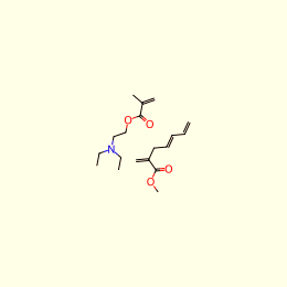 C=C(C)C(=O)OCCN(CC)CC.C=CC=CCC(=C)C(=O)OC